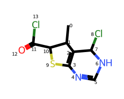 CC1C2=C(N=CNC2Cl)SC1C(=O)Cl